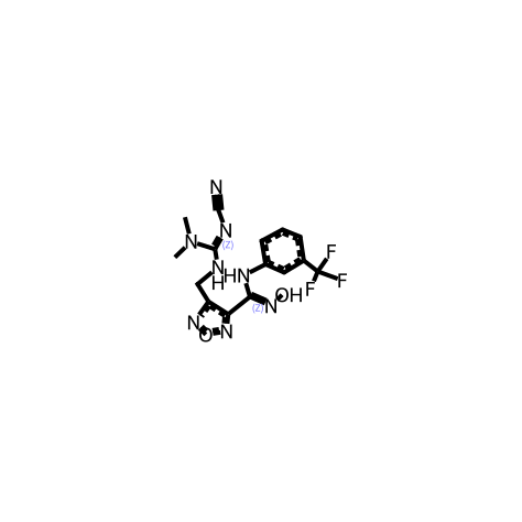 CN(C)/C(=N\C#N)NCc1nonc1/C(=N/O)Nc1cccc(C(F)(F)F)c1